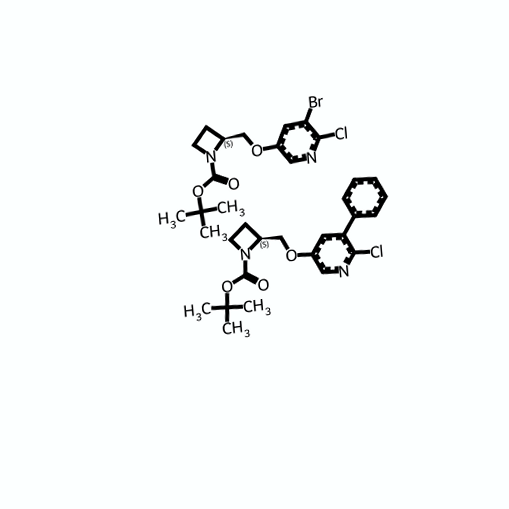 CC(C)(C)OC(=O)N1CC[C@H]1COc1cnc(Cl)c(-c2ccccc2)c1.CC(C)(C)OC(=O)N1CC[C@H]1COc1cnc(Cl)c(Br)c1